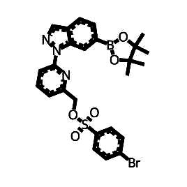 CC1(C)OB(c2ccc3cnn(-c4cccc(COS(=O)(=O)c5ccc(Br)cc5)n4)c3c2)OC1(C)C